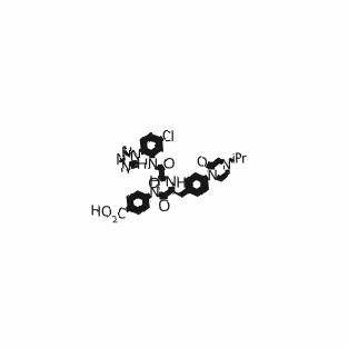 CC(C)N1CCN(c2ccc(C[C@H](NC(=O)C(=O)Nc3cc(Cl)ccc3-n3cnnn3)C(=O)Nc3ccc(C(=O)O)cc3)cc2)C(=O)C1